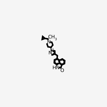 C[C@@H](C1CC1)N1CCC(n2cc(Cc3ccc4c5c(cccc35)C(=O)N4)cn2)CC1